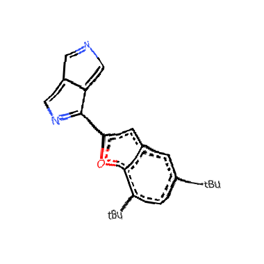 CC(C)(C)c1cc(C(C)(C)C)c2oc(C3=NC=C4C=NC=C43)cc2c1